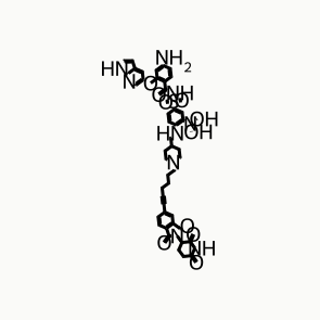 Nc1ccc(C(=O)NS(=O)(=O)c2ccc(NCC3CCN(CCCCC#Cc4ccc5c(c4)C(=O)N(C4CCC(=O)NC4=O)C5=O)CC3)c(N(O)O)c2)c(Oc2cnc3[nH]ccc3c2)c1